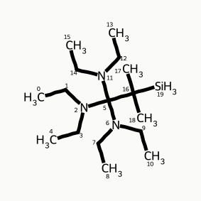 CCN(CC)C(N(CC)CC)(N(CC)CC)C(C)(C)[SiH3]